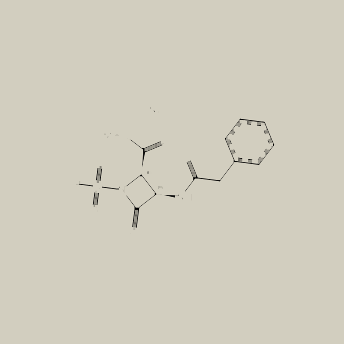 COC(=O)[C@H]1[C@@H](NC(=O)Cc2ccccc2)C(=O)N1S(=O)(=O)[O-].[Na+]